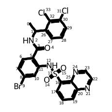 CC(NC(=O)c1ccc(Br)cc1NS(=O)(=O)c1cccc2nccnc12)c1cccc(Cl)c1Cl